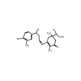 CCC(C/C=N\C1=C(C)C(=O)CC(C)(C(C=O)CC)C1)c1ccc(C#N)c(C)c1